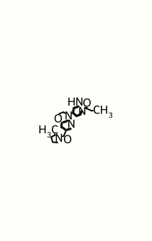 CCC(=O)n1ccc(N2CCOc3cc(C(=O)N4CCC[C@@H]4C)cnc32)cc1=N